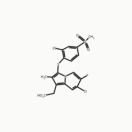 Cc1c(CC(=O)O)c2cc(Cl)c(F)cn2c1Sc1ccc(S(C)(=O)=O)cc1Cl